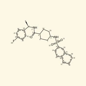 C[C@@H](NC(=O)C1CCC(NS(=O)(=O)c2ccc3ncccc3c2)CC1)c1ccc(F)cc1